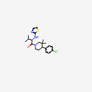 CC(C)[C@@H](Nc1nccs1)C(=O)N1CCC(c2ccc(Cl)cc2)C(C)(C)C1